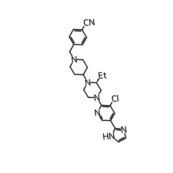 CC[C@H]1CN(c2ncc(-c3ncc[nH]3)cc2Cl)CCN1C1CCN(Cc2ccc(C#N)cc2)CC1